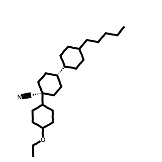 CCCCCC1CCC([C@H]2CC[C@](C#N)(C3CCC(OCC)CC3)CC2)CC1